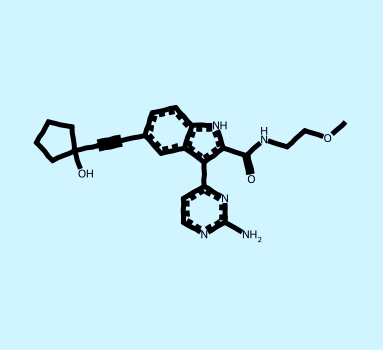 COCCNC(=O)c1[nH]c2ccc(C#CC3(O)CCCC3)cc2c1-c1ccnc(N)n1